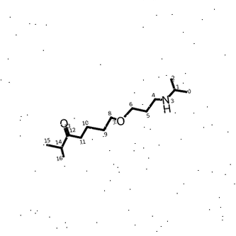 CC(C)NCCCOCCCCC(=O)C(C)C